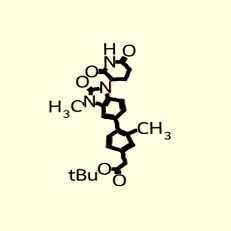 Cc1cc(CC(=O)OC(C)(C)C)ccc1-c1ccc2c(c1)n(C)c(=O)n2C1CCC(=O)NC1=O